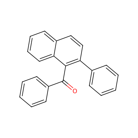 O=C(c1ccccc1)c1c(-c2ccccc2)ccc2ccccc12